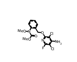 COC(=O)N(OC)c1ccccc1COc1nc(F)c(Cl)c(N)c1Cl